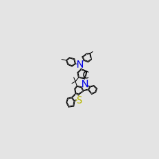 Cc1ccc(N(c2ccc(C)cc2)c2ccc3c(c2)C(C)(C)c2cc4c5ccccc5sc4c4c5ccccc5n-3c24)cc1